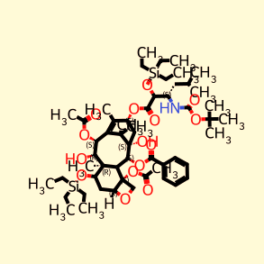 CC[Si](CC)(CC)OC(C(=O)O[C@H]1C[C@@]2(O)[C@@H](OC(=O)c3ccccc3)C3[C@@](C)(C(O[Si](CC)(CC)CC)C[C@H]4OC[C@@]34OC(C)=O)[C@@H](O)[C@@H](OC(C)=O)C(=C1C)C2(C)C)[C@H](CC(C)C)NC(=O)OC(C)(C)C